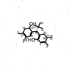 CC1=CC(O)=C([C@H](C2=CC(F)=C(C)CC2O)C(C)(C)C)C[C@H]1F